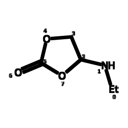 CCNC1COC(=O)O1